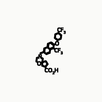 O=C(O)C1CCC2(C1)CN(Cc1ccc3c(C(F)(F)F)c(OC4CCC(C(F)(F)F)CC4)ccc3c1)CCO2